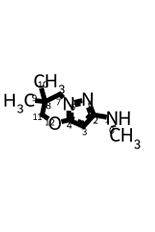 CNc1cc2n(n1)CC(C)(C)CO2